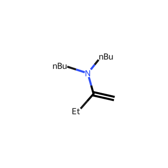 C=C(CC)N(CCCC)CCCC